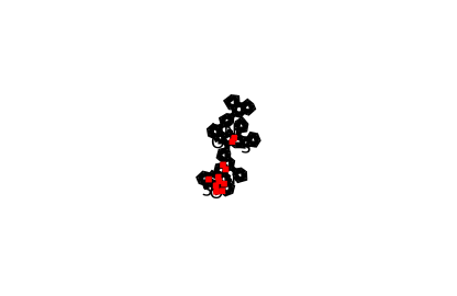 C1=Cc2c(oc3cccc(N(c4ccccc4-c4ccc5ccc(-c6ccc(Nc7ccccc7-c7cccc8sc9ccccc9c78)c7c6oc6cccc(-c8ccc(-c9cc%10ccccc%10c%10ccccc9%10)cc8)c67)cc5c4)c4ccccc4-c4cccc5sc6ccccc6c45)c23)CC1